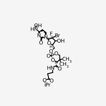 CC(C)OC(=O)CCNC(=O)[C@@H]1OP(=O)(OC[C@H]2O[C@@H](n3ccc(NO)nc3=O)[C@@](F)(Br)C2O)OCC1(C)C